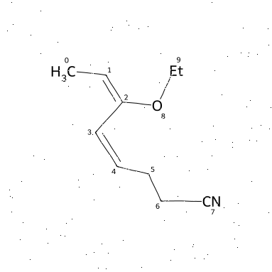 C/C=C(\C=C/CCC#N)OCC